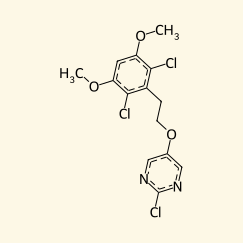 COc1cc(OC)c(Cl)c(CCOc2cnc(Cl)nc2)c1Cl